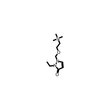 CCn1c(=O)ccn1COCC[Si](C)(C)C